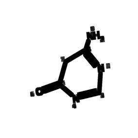 NC1=NC=NC(=O)C1